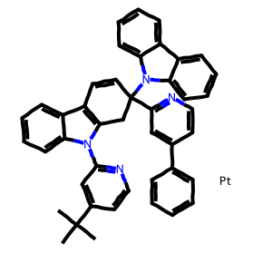 CC(C)(C)c1ccnc(-n2c3c(c4ccccc42)C=CC(c2cc(-c4ccccc4)ccn2)(n2c4ccccc4c4ccccc42)C3)c1.[Pt]